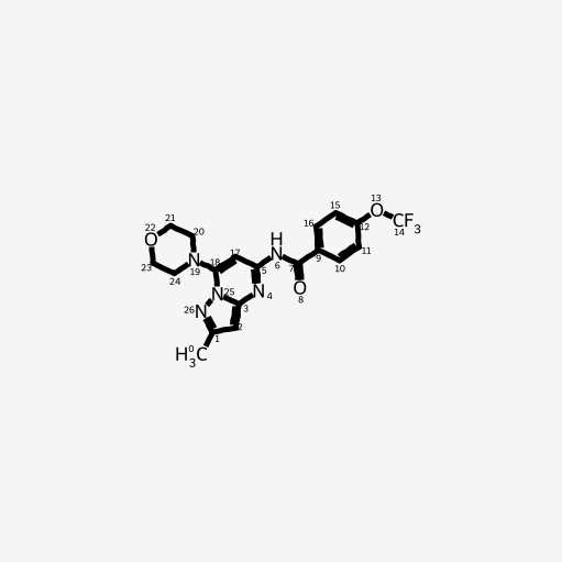 Cc1cc2nc(NC(=O)c3ccc(OC(F)(F)F)cc3)cc(N3CCOCC3)n2n1